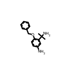 CC(C)(N)c1cc(N)ccc1OCc1ccccc1